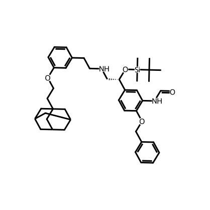 CC(C)(C)[Si](C)(C)O[C@@H](CNCCc1cccc(OCCC23CC4CC(CC(C4)C2)C3)c1)c1ccc(OCc2ccccc2)c(NC=O)c1